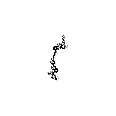 CCc1nc(-c2cccc3cc(-c4ccc(OCCC/C=C/c5cccc6c5CN(C5CCC(=O)N(COCC[Si](C)(C)C)C5=O)C6=O)nc4)ncc23)c2n1CCN(C(C)=O)C2